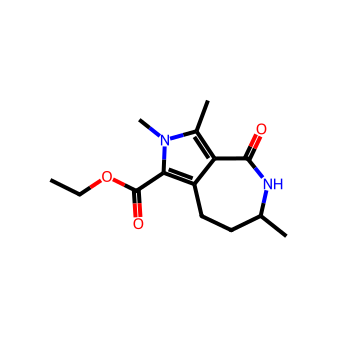 CCOC(=O)c1c2c(c(C)n1C)C(=O)NC(C)CC2